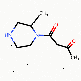 CC(=O)CC(=O)N1CCNCC1C